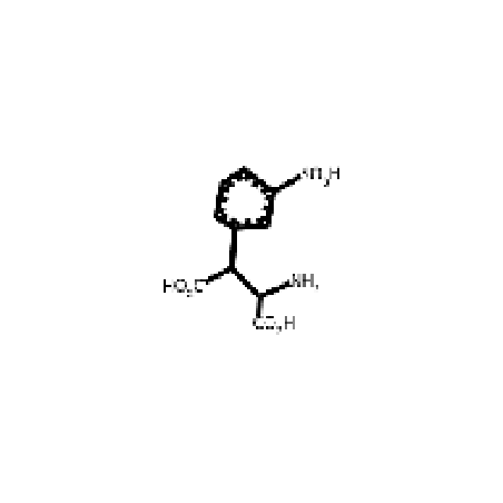 NC(C(=O)O)C(C(=O)O)c1cccc(S(=O)(=O)O)c1